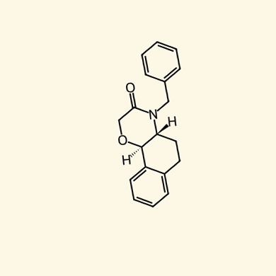 O=C1CO[C@@H]2c3ccccc3CC[C@H]2N1Cc1ccccc1